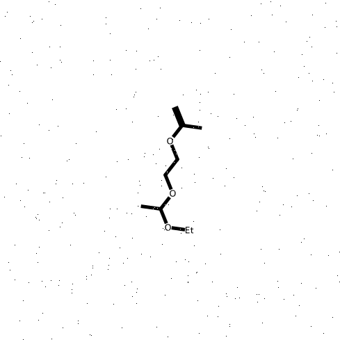 [CH2]C(OCC)OCCOC(=C)C